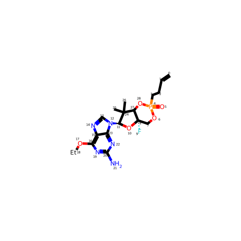 C=CCCP1(=O)OC[C@@]2(F)O[C@@H](n3cnc4c(OCC)nc(N)nc43)C(C)(C)C2O1